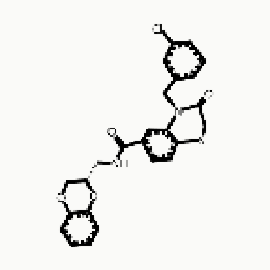 O=C(NC[C@H]1COc2ccccc2O1)c1ccc2c(c1)N(Cc1cccc(Cl)c1)C(=O)CS2